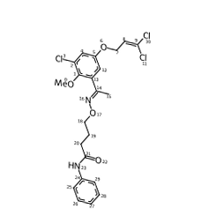 COc1c(Cl)cc(OCC=C(Cl)Cl)cc1C(C)=NOCCCC(=O)Nc1ccccc1